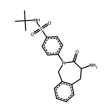 CC(C)(C)NS(=O)(=O)c1ccc(N2Cc3ccccc3CC(N)C2=O)cc1